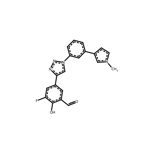 Cn1ccc(-c2cccc(-n3cc(-c4cc(F)c(O)c(C=O)c4)nn3)c2)c1